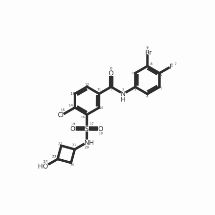 O=C(Nc1ccc(F)c(Br)c1)c1ccc(Cl)c(S(=O)(=O)NC2CC(O)C2)c1